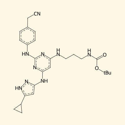 CC(C)(C)OC(=O)NCCCNc1cc(Nc2cc(C3CC3)[nH]n2)nc(Nc2ccc(CC#N)cc2)n1